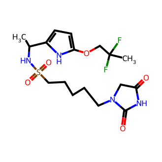 CC(NS(=O)(=O)CCCCCN1CC(=O)NC1=O)c1ccc(OCC(C)(F)F)[nH]1